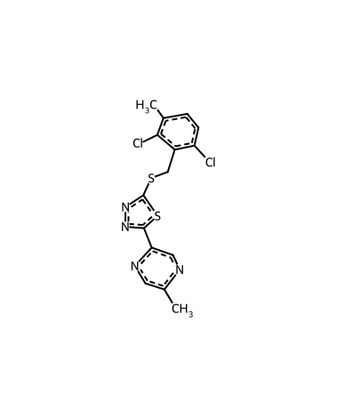 Cc1cnc(-c2nnc(SCc3c(Cl)ccc(C)c3Cl)s2)cn1